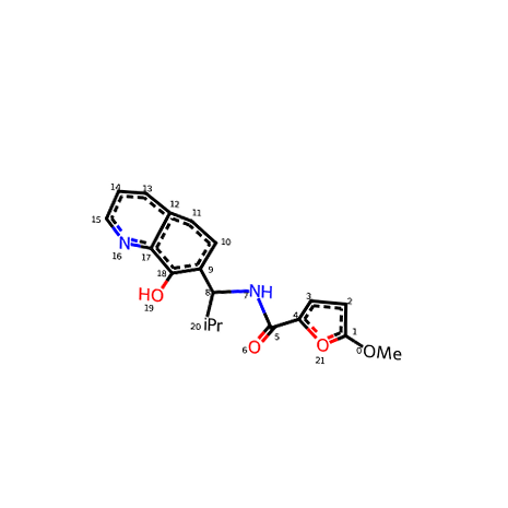 COc1ccc(C(=O)NC(c2ccc3cccnc3c2O)C(C)C)o1